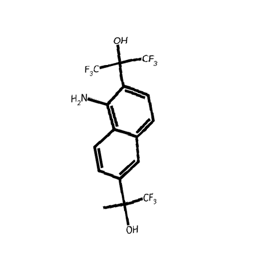 CC(O)(c1ccc2c(N)c(C(O)(C(F)(F)F)C(F)(F)F)ccc2c1)C(F)(F)F